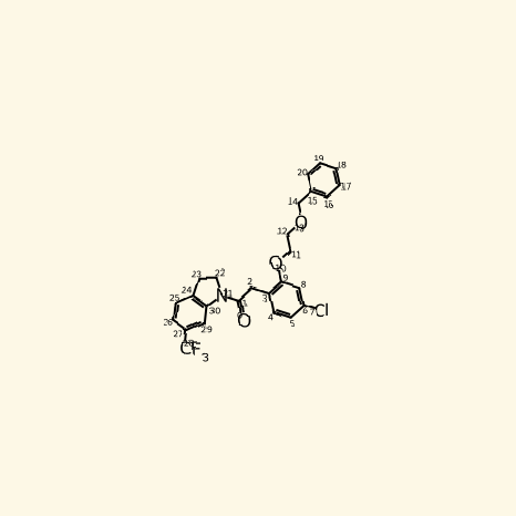 O=C(Cc1ccc(Cl)cc1OCCOCc1ccccc1)N1CCc2ccc(C(F)(F)F)cc21